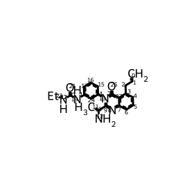 C=CCc1cccc2nc(C(C)N)n(-c3cccc(NC(=O)NCC)c3)c(=O)c12